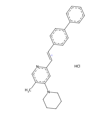 Cc1cnc(/C=C/c2ccc(-c3ccccc3)cc2)cc1N1CCCCC1.Cl